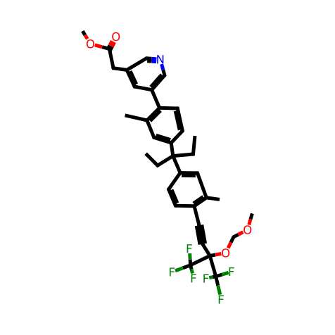 CCC(CC)(c1ccc(C#CC(OCOC)(C(F)(F)F)C(F)(F)F)c(C)c1)c1ccc(-c2cncc(CC(=O)OC)c2)c(C)c1